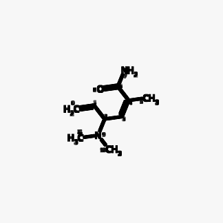 C=CC(C=C(C)C(N)=O)N(C)C